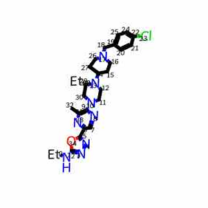 CCNc1nnc(-c2cnc(N3CCN(C4CCN(Cc5ccc(Cl)cc5)CC4)[C@@H](CC)C3)c(C)n2)o1